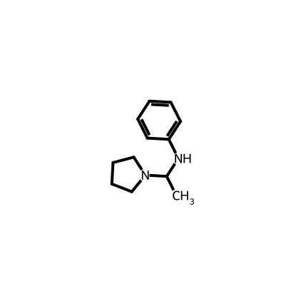 CC(Nc1ccccc1)N1CCCC1